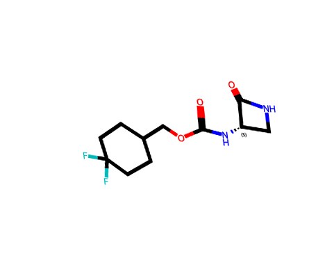 O=C(N[C@H]1CNC1=O)OCC1CCC(F)(F)CC1